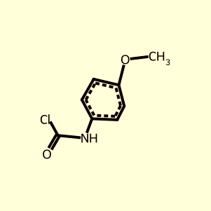 COc1ccc(NC(=O)Cl)cc1